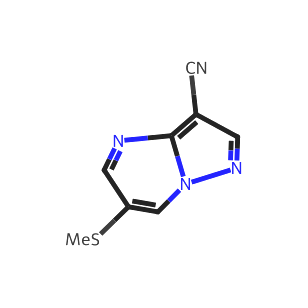 CSc1cnc2c(C#N)cnn2c1